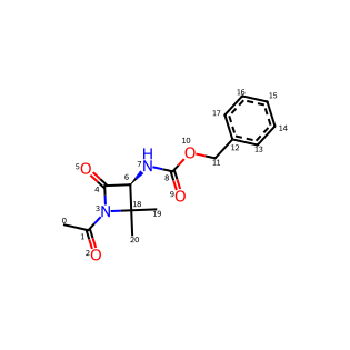 CC(=O)N1C(=O)[C@@H](NC(=O)OCc2ccccc2)C1(C)C